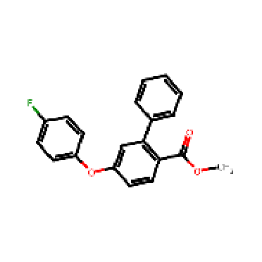 COC(=O)c1ccc(Oc2ccc(F)cc2)cc1-c1ccccc1